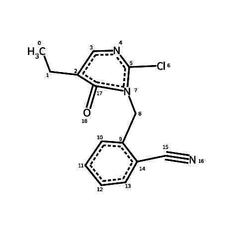 CCc1cnc(Cl)n(Cc2ccccc2C#N)c1=O